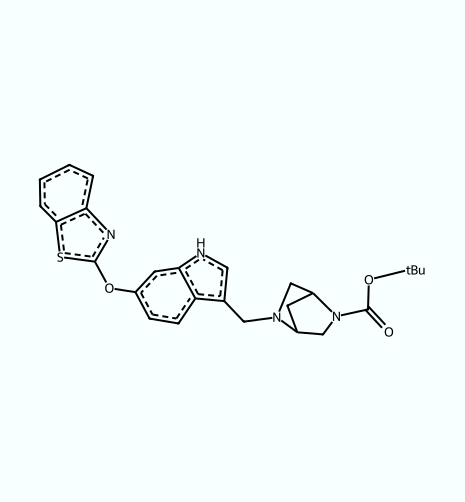 CC(C)(C)OC(=O)N1CC2CC1CN2Cc1c[nH]c2cc(Oc3nc4ccccc4s3)ccc12